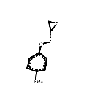 CNc1ccc(OC[C@@H]2CO2)cc1